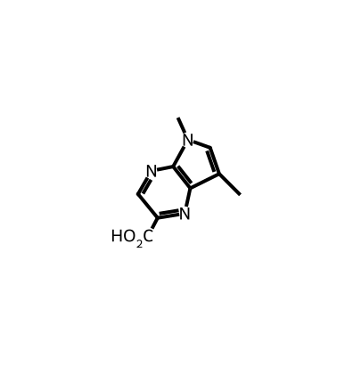 Cc1cn(C)c2ncc(C(=O)O)nc12